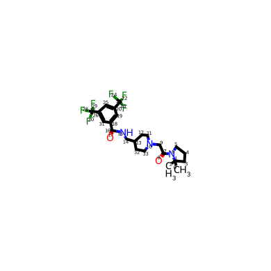 CC1(C)CCCN1C(=O)CN1CCC(CNC(=O)c2cc(C(F)(F)F)cc(C(F)(F)F)c2)CC1